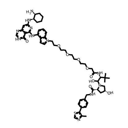 Cc1ncsc1-c1ccc(CNC(=O)[C@@H]2C[C@@H](O)CN2C(O)[C@@H](NC(=O)COCCOCCOCCOCCn2ccc3c(Nc4nc(N[C@@H]5CCCC[C@@H]5N)cc5nc[nH]c(=O)c45)cccc32)C(C)(C)C)cc1